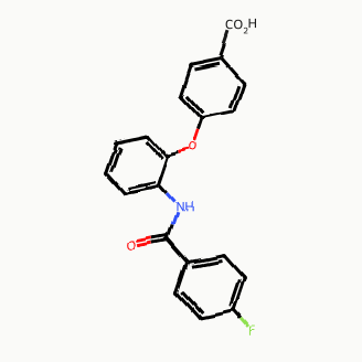 O=C(O)c1ccc(Oc2ccccc2NC(=O)c2ccc(F)cc2)cc1